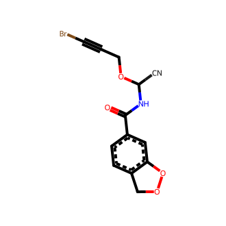 N#CC(NC(=O)c1ccc2c(c1)OOC2)OCC#CBr